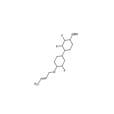 CC=CCOC1CCC(C2CCC(OC)C(F)C2F)CC1F